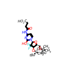 CC(C)(C)[Si](C)(C)OC[C@H]1O[C@@H](N2C=CC(NC(=O)CCC(=O)O)=NC2O)C(F)(F)[C@@H]1O[Si](C)(C)C(C)(C)C